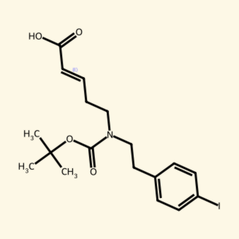 CC(C)(C)OC(=O)N(CC/C=C/C(=O)O)CCc1ccc(I)cc1